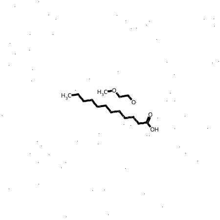 CCCCCCCCCCCC(=O)O.COCC[O]